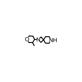 CC1COCCC1N1CC2(CCNCC2)C1